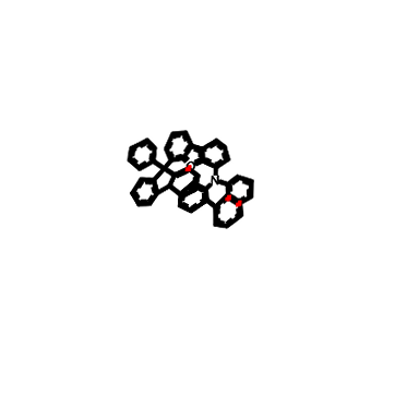 C1=CCC2C(=C1)C(c1ccccc1)(c1cccc3c1oc1c(N(c4ccccc4)c4ccccc4-c4ccccc4)cccc13)c1ccccc12